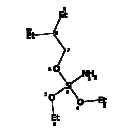 CCO[Si](N)(OCC)OCC(CC)CC